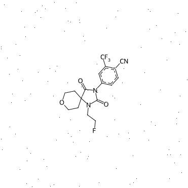 N#Cc1ccc(N2C(=O)N(CCF)C3(CCOCC3)C2=O)cc1C(F)(F)F